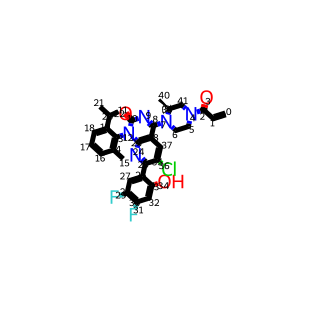 C=CC(=O)N1CCN(c2nc(=O)n(-c3c(C)cccc3C(C)C)c3nc(-c4cc(F)c(F)cc4O)c(Cl)cc23)[C@@H](C)C1